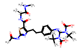 CC(=O)Nc1nc(CCc2ccc(NC(N(C(=O)O)C(C)(C)C)N(C(=O)O)C(C)(C)C)cc2)c(C(=O)N[C@@H](C)C(=O)N(C)C)s1